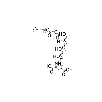 CC(=O)O.CC(=O)O.CC(=O)O.CC(=O)O.CC(=O)O.CC(=O)O.NCCN.N[C@@H](CCC(=O)O)C(=O)O